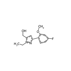 CCn1nc(-c2ccc(F)cc2OC)cc1CO